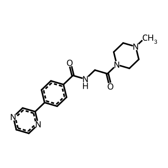 CN1CCN(C(=O)CNC(=O)c2ccc(-c3cnccn3)cc2)CC1